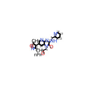 CCCOCCn1c(=O)c(NCc2ccccn2)nc2ncc(-c3c(C)noc3C)cc21